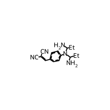 CCC(N)N(c1ccc(C=C(C#N)C#N)cc1)C(N)CC